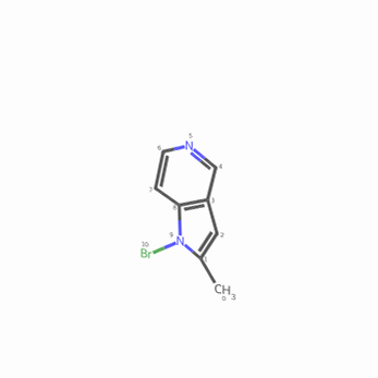 Cc1cc2cnccc2n1Br